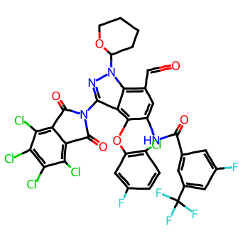 O=Cc1cc(NC(=O)c2cc(F)cc(C(F)(F)F)c2)c(Oc2cc(F)ccc2Cl)c2c(N3C(=O)c4c(Cl)c(Cl)c(Cl)c(Cl)c4C3=O)nn(C3CCCCO3)c12